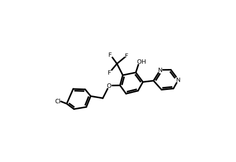 Oc1c(-c2ccncn2)ccc(OCc2ccc(Cl)cc2)c1C(F)(F)F